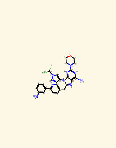 Nc1cccc(-c2ccc(Cc3nc4c(N)nc(N5CCOCC5)nc4n3-c3cnn(C(F)F)c3)cn2)c1